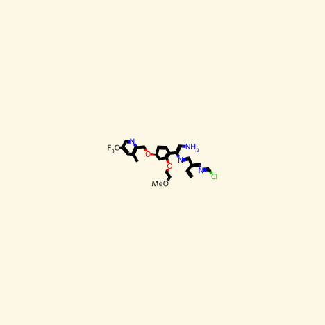 C=CC(/C=N/C(=C\N)C1=C(OCCOC)C[C@@H](OCc2ncc(C(F)(F)F)cc2C)C=C1)=C\N=C\Cl